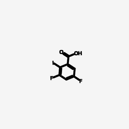 O=C(O)c1cc(F)cc(F)c1I